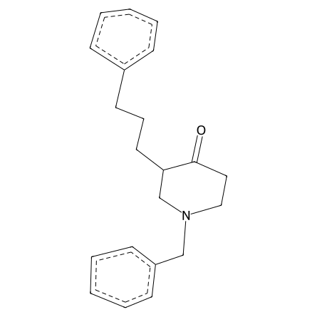 O=C1CCN(Cc2ccccc2)CC1CCCc1ccccc1